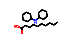 C1CCC(NC2CCCCC2)CC1.CCCCCCCCCC(=O)O